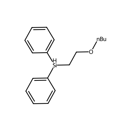 CCCCOCC[SiH](c1ccccc1)c1ccccc1